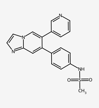 CS(=O)(=O)Nc1ccc(-c2cc3nccn3cc2-c2cccnc2)cc1